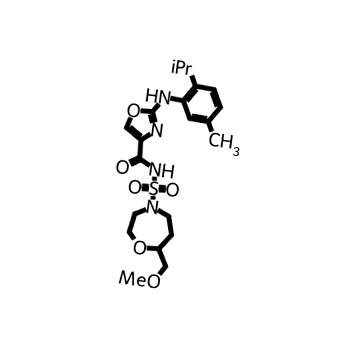 COCC1CCN(S(=O)(=O)NC(=O)c2coc(Nc3cc(C)ccc3C(C)C)n2)CCO1